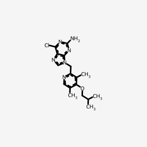 Cc1cnc(Cn2cnc3c(Cl)nc(N)nc32)c(C)c1OCC(C)C